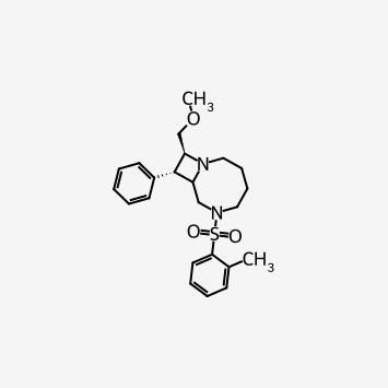 COC[C@@H]1[C@@H](c2ccccc2)C2CN(S(=O)(=O)c3ccccc3C)CCCCN21